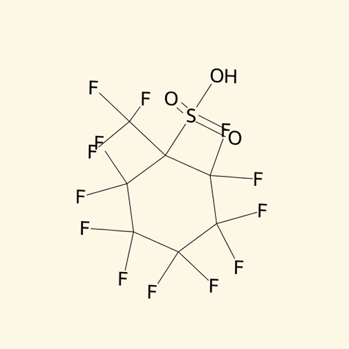 O=S(=O)(O)C1(C(F)(F)F)C(F)(F)C(F)(F)C(F)(F)C(F)(F)C1(F)F